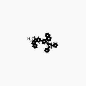 CC1(C)c2ccc(-c3ccc4c(c3)c3c5ccccc5ccc3n4-c3nc(-c4ccccc4)nc(-c4ccccc4)n3)cc2-c2c1ccc1ccccc21